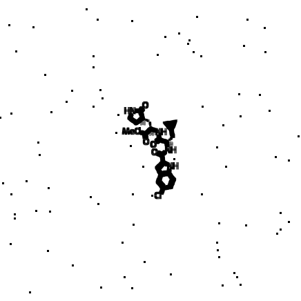 COC(=O)[C@H](C[C@@H]1CCNC1=O)NC(=O)[C@H](CC1CC1)NC(=O)c1cc2cc(Cl)ccc2[nH]1